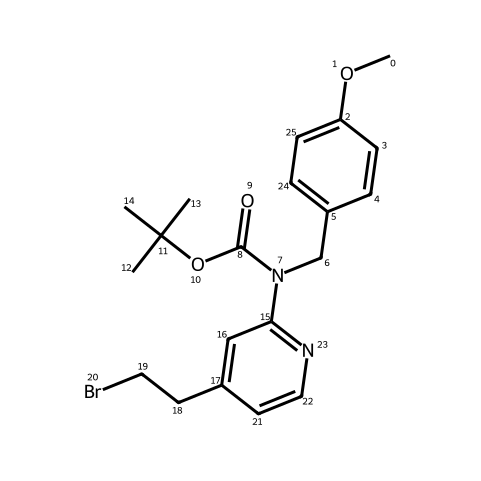 COc1ccc(CN(C(=O)OC(C)(C)C)c2cc(CCBr)ccn2)cc1